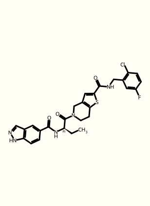 CC[C@@H](NC(=O)c1ccc2[nH]ncc2c1)C(=O)N1CCc2sc(C(=O)NCc3cc(F)ccc3Cl)cc2C1